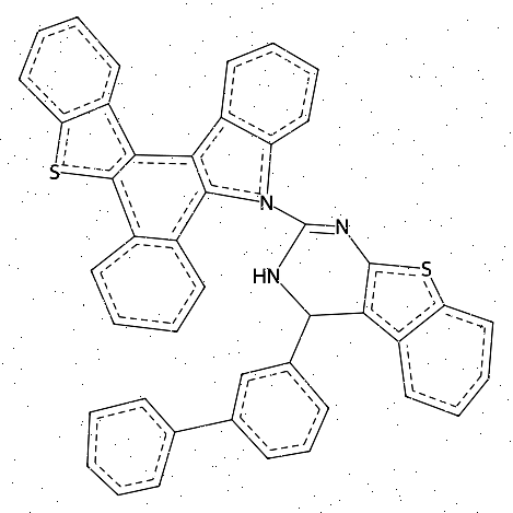 c1ccc(-c2cccc(C3NC(n4c5ccccc5c5c6c7ccccc7sc6c6ccccc6c54)=Nc4sc5ccccc5c43)c2)cc1